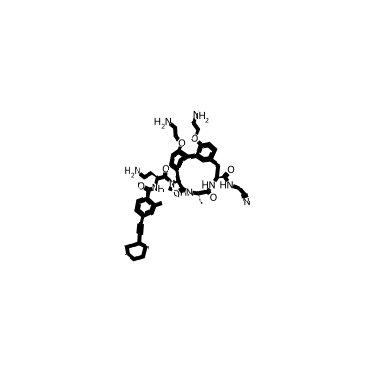 Cc1cc(C#CC2CCCCC2)ccc1C(=O)N[C@@H](CCN)C(=O)N(C)[C@@H]1C(=O)N[C@@H](C)C(=O)N[C@H](C(=O)NCC#N)Cc2ccc(OCCN)c(c2)-c2cc1ccc2OCCN